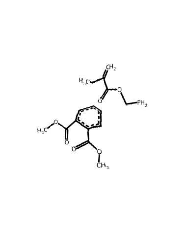 C=C(C)C(=O)OCP.COC(=O)c1ccccc1C(=O)OC